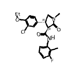 CCOc1ccc([C@@H]2CN(C)C(=O)[C@H]2C(=O)Nc2cccc(F)c2C)cc1Cl